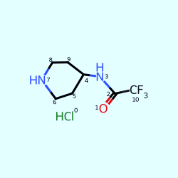 Cl.O=C(NC1CCNCC1)C(F)(F)F